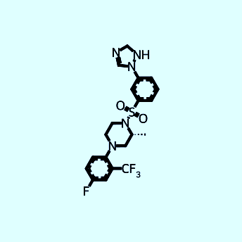 C[C@@H]1CN(c2ccc(F)cc2C(F)(F)F)CCN1S(=O)(=O)c1cccc(N2C=NCN2)c1